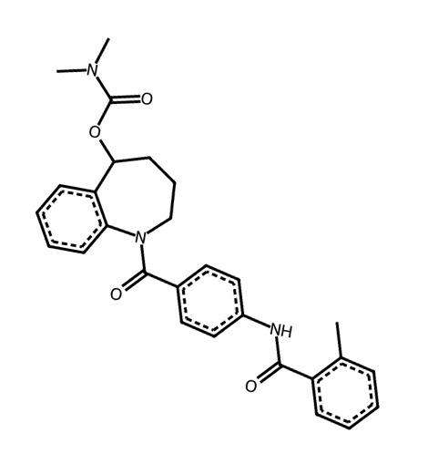 Cc1ccccc1C(=O)Nc1ccc(C(=O)N2CCCC(OC(=O)N(C)C)c3ccccc32)cc1